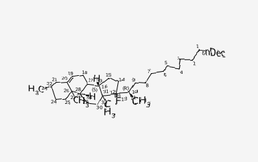 CCCCCCCCCCCCCCCCCCC[C@@H](C)[C@@]1(F)CC[C@H]2C3CC=C4CC(C)CCC4(C)[C@H]3CCC21C